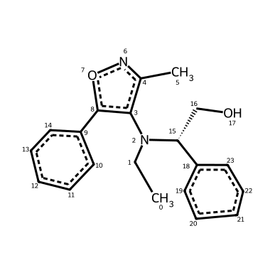 CCN(c1c(C)noc1-c1ccccc1)[C@H](CO)c1ccccc1